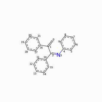 C=C(C(=Nc1ccccc1)c1ccccc1)c1ccccc1